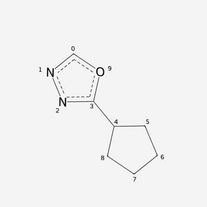 c1nnc(C2CCCC2)o1